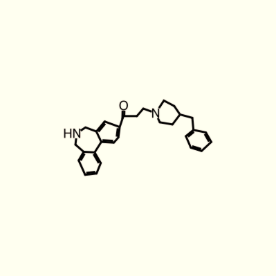 O=C(CCN1CCC(Cc2ccccc2)CC1)c1ccc2c(c1)CNCc1ccccc1-2